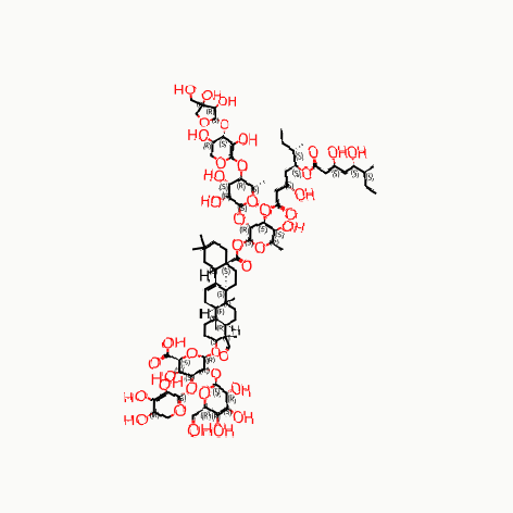 CC[C@H](C)[C@H](C[C@H](O)CC(=O)O[C@H]1[C@@H](O)[C@@H](C)O[C@@H](OC(=O)[C@]23CCC(C)(C)C[C@H]2C2=CC[C@@H]4[C@@]5(C)CC[C@H](O[C@@H]6O[C@H](C(=O)O)[C@@H](O)[C@H](O[C@@H]7OC[C@@H](O)C(O)=C7O)[C@H]6O[C@@H]6O[C@H](CO)[C@H](O)[C@H](O)[C@H]6O)[C@@](C)(C=O)[C@@H]5CC[C@@]4(C)[C@]2(C)CC3)[C@@H]1O[C@@H]1O[C@@H](C)[C@H](OC2=C(O)[C@@H](O[C@@H]3OC[C@](O)(CO)[C@H]3O)[C@H](O)CO2)[C@@H](O)[C@H]1O)OC(=O)C[C@@H](O)C[C@H](O)[C@@H](C)CC